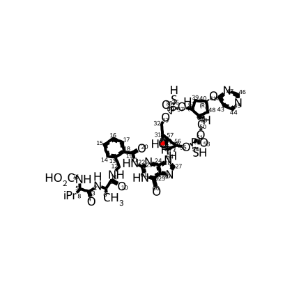 CC(NC(=O)C(NC(=O)O)C(C)C)C(=O)NCc1ccccc1C(=O)Nc1nc2c(ncn2[C@@H]2OC3CO[P@@](=O)(S)O[C@H]4C[C@H](Oc5ccncn5)C[C@@H]4CO[P@@](=O)(S)O[C@@H]2[C@@H]3O)c(=O)[nH]1